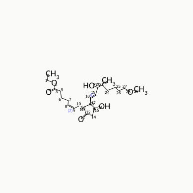 CCOC(=O)CCC/C=C\C[C@H]1C(=O)C[C@@H](O)[C@@H]1/C=C/C(O)C(C)CCCCOC